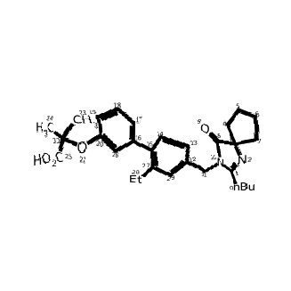 CCCCC1=NC2(CCCC2)C(=O)N1Cc1ccc(-c2cccc(OC(C)(C)C(=O)O)c2)c(CC)c1